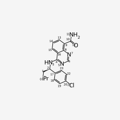 CC(C)C[C@@H](Nc1ncnc2c(C(N)=O)cccc12)c1ccc(Cl)cc1